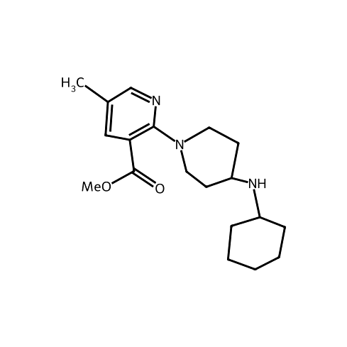 COC(=O)c1cc(C)cnc1N1CCC(NC2CCCCC2)CC1